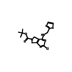 CC(C)(C)OC(=O)N1Cc2nc(Cl)nc(NCc3nccs3)c2C1